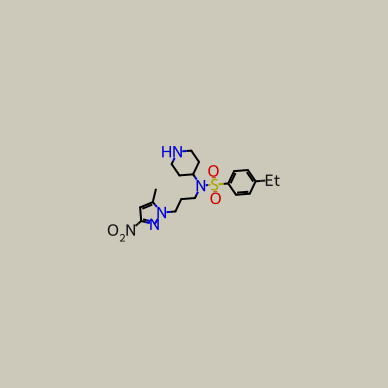 CCc1ccc(S(=O)(=O)N(CCCn2nc([N+](=O)[O-])cc2C)C2CCNCC2)cc1